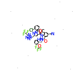 Cc1cc(C#N)cc(C(=O)NCc2ccccc2OC(F)(F)F)c1NC(=O)c1cc(Cn2nnc(C(F)(F)F)n2)nn1-c1ccccc1Cl